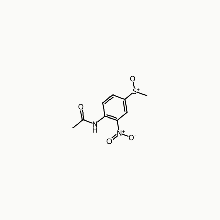 CC(=O)Nc1ccc([S+](C)[O-])cc1[N+](=O)[O-]